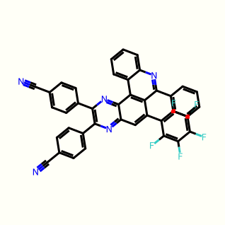 N#Cc1ccc(-c2nc3cc(-c4c(F)c(F)c(F)c(F)c4F)c4c(-c5ccccc5)nc5ccccc5c4c3nc2-c2ccc(C#N)cc2)cc1